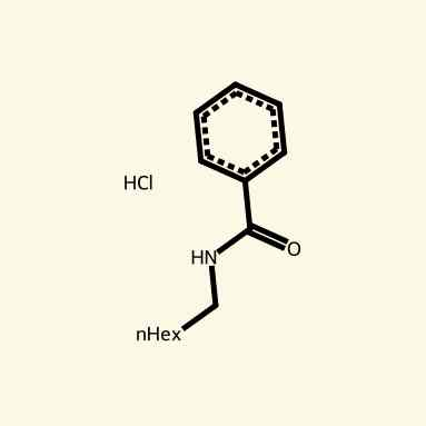 CCCCCCCNC(=O)c1ccccc1.Cl